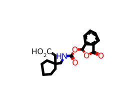 O=C(O)CC1(CNC(=O)OC2OC(=O)c3ccccc32)CCCCC1